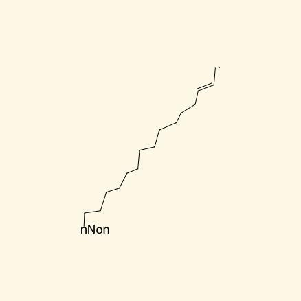 [CH2]C=CCCCCCCCCCCCCCCCCCCCCC